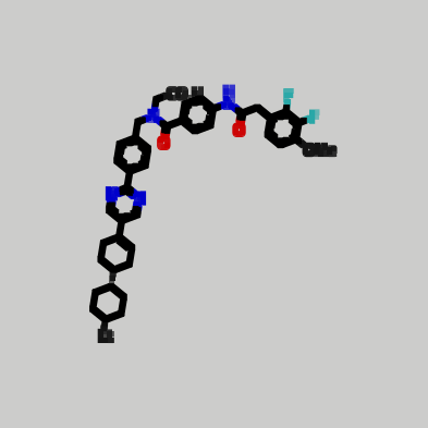 CC[C@H]1CC[C@H](C2CC=C(c3cnc(-c4ccc(CN(CC(=O)O)C(=O)c5ccc(NC(=O)Cc6ccc(OC)c(F)c6F)cc5)cc4)nc3)CC2)CC1